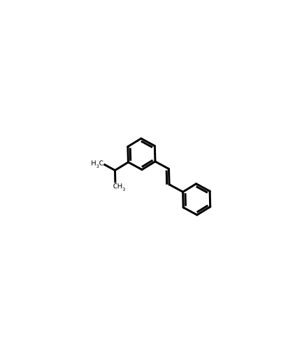 CC(C)c1cccc(C=Cc2ccccc2)c1